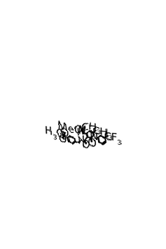 CON(C)Cc1cc(C)n(-c2cccc(C(F)(F)F)c2)c(=O)c1C(=O)NCc1ccc(S(C)(=O)=O)cc1